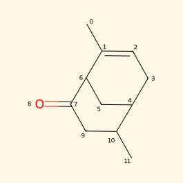 CC1=CCC2CC1C(=O)CC2C